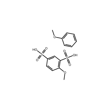 COc1ccc(S(=O)(=O)O)cc1S(=O)(=O)O.COc1ccccc1